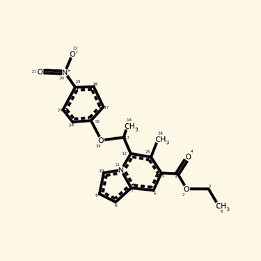 CCOC(=O)c1cc2cccn2c(C(C)Oc2ccc([N+](=O)[O-])cc2)c1C